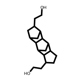 OCCC1CC2CC1C1C3CC(C4C(CCO)CCC34)C21